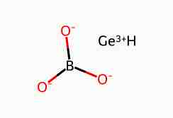 [GeH+3].[O-]B([O-])[O-]